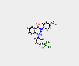 COc1ccc(NC(=O)c2cccnc2Nc2cccc(C(F)(F)F)c2)cc1